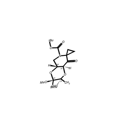 CO[C@@]1(C)O[C@@H]2C(=O)C3(CC3)N(C(=O)OC(C)(C)C)C[C@H]2O[C@]1(C)OC